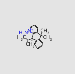 CC(C)B1c2ccccc2C(C)(C)c2ccc[n+](N)c21